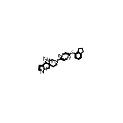 N[C@@H]1c2ccnn2CC12CCN(c1cnc(Sc3cccc4c3CCC4)cn1)CC2